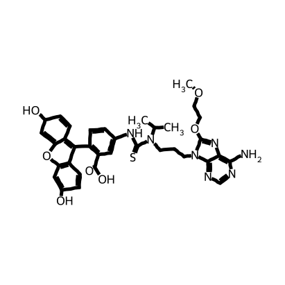 COCCOc1nc2c(N)ncnc2n1CCCN(C(=S)Nc1ccc(C2=C3C=CC(O)C=C3Oc3cc(O)ccc32)c(C(=O)O)c1)C(C)C